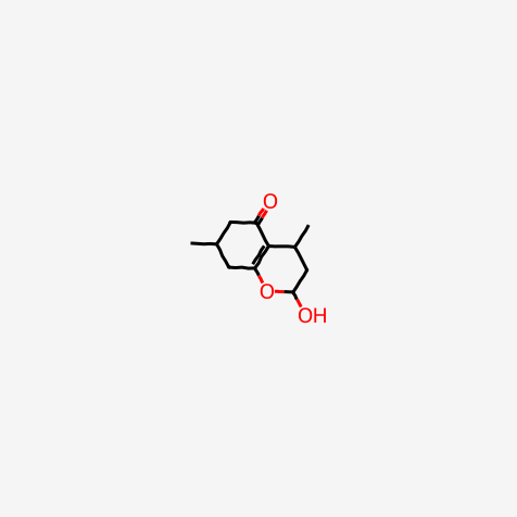 CC1CC(=O)C2=C(C1)OC(O)CC2C